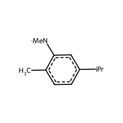 C[N]c1cc(C(C)C)ccc1C